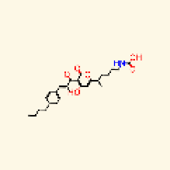 CCCCc1ccc(/C=C(\C)C(=O)c2c(O)cc(C(C)CC/C=C/NC(=O)O)oc2=O)cc1